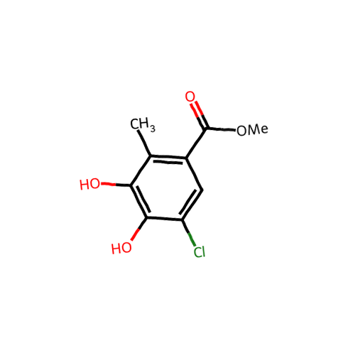 COC(=O)c1cc(Cl)c(O)c(O)c1C